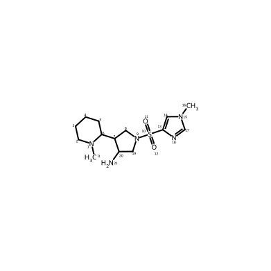 CN1CCCCC1C1CN(S(=O)(=O)c2cn(C)cn2)CC1N